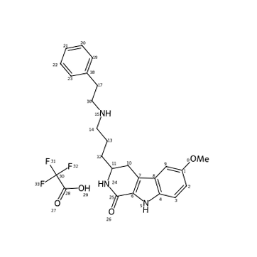 COc1ccc2[nH]c3c(c2c1)CC(CCCNCCc1ccccc1)NC3=O.O=C(O)C(F)(F)F